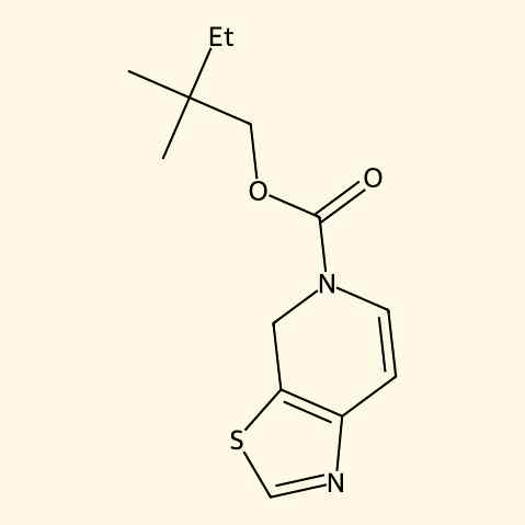 CCC(C)(C)COC(=O)N1C=Cc2ncsc2C1